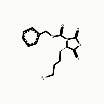 NCCCC[C@H]1C(=O)OC(=O)N1C(=O)OCc1ccccc1